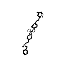 Cc1ccnc(CCc2ccc(OC(=O)N3CCC(CCN(C)Cc4ccccc4)CC3)cc2)c1